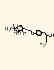 CCCC(C)Cc1ccc(OCCOc2cnn(C(C)(C)C)c(=O)c2Cl)cc1